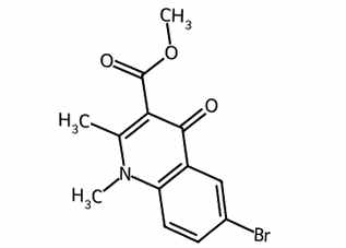 COC(=O)c1c(C)n(C)c2ccc(Br)cc2c1=O